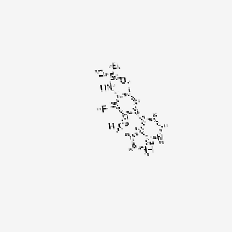 CCS(=O)(=O)Nc1ccc(-c2ccnc3[nH]ccc23)c(C)c1F